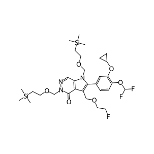 C[Si](C)(C)CCOCn1ncc2c(c(COCCF)c(-c3ccc(OC(F)F)c(OC4CC4)c3)n2COCC[Si](C)(C)C)c1=O